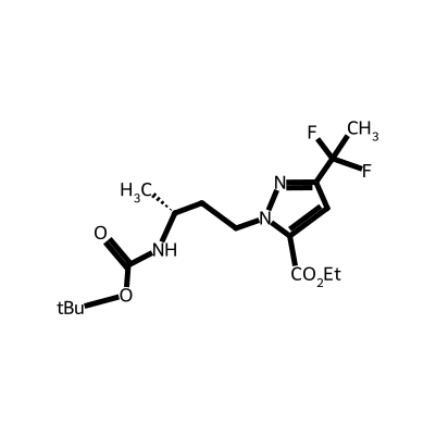 CCOC(=O)c1cc(C(C)(F)F)nn1CC[C@@H](C)NC(=O)OC(C)(C)C